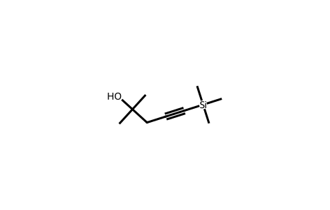 CC(C)(O)CC#C[Si](C)(C)C